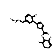 CCOOCc1ccc(Cl)c(-c2ccc(C(=O)NC3=C(F)CCC=C3F)s2)c1